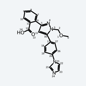 COCn1nc(-c2ccccc2C(=O)O)cc1-c1ccc(-n2ccnc2)cc1